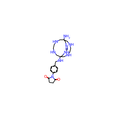 NC12CNCCNCC(NCc3ccc(N4C(=O)CCC4=O)cc3)(CNCCNC1)CNCCNC2